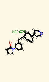 Cl.O=C1CCCN1C1CCCC(Cc2ccc(-c3ccncc3)cc2Cl)C1